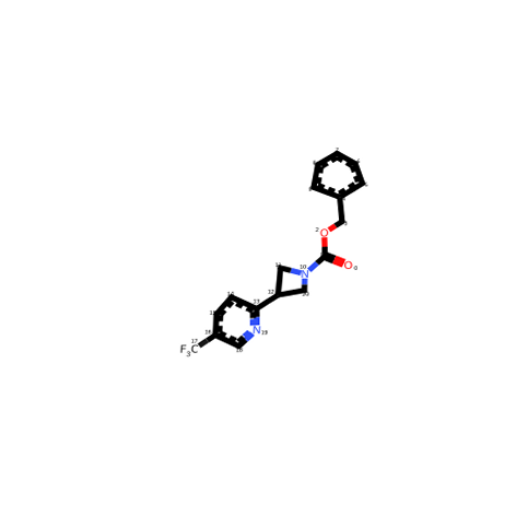 O=C(OCc1ccccc1)N1CC(c2ccc(C(F)(F)F)cn2)C1